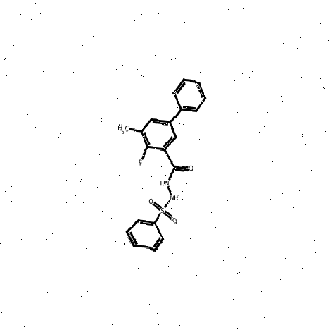 Cc1cc(-c2ccccc2)cc(C(=O)NNS(=O)(=O)c2ccccc2)c1F